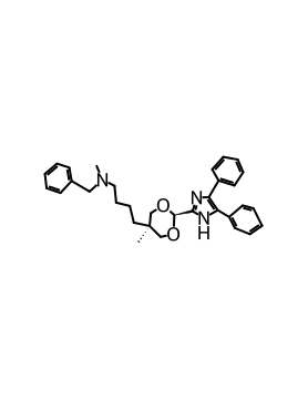 CN(CCCC[C@]1(C)CO[C@H](c2nc(-c3ccccc3)c(-c3ccccc3)[nH]2)OC1)Cc1ccccc1